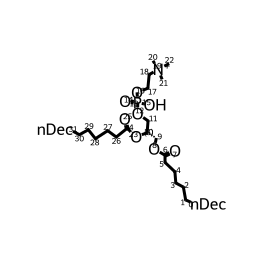 CCCCCCCCCCCCCCCC(=O)OC[C@@H](COP(=O)(O)OCC[N+](C)(C)C)OC(=O)CCCCCCCCCCCCCCC